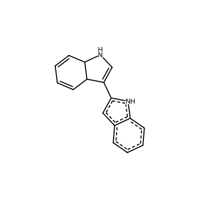 C1=CC2NC=C(c3cc4ccccc4[nH]3)C2C=C1